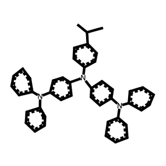 CC(C)c1ccc(N(c2ccc(N(c3ccccc3)c3ccccc3)cc2)c2ccc(N(c3ccccc3)c3ccccc3)cc2)cc1